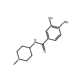 CN1CCC(NC(=O)c2ccc(C(C)(C)C)c(O)c2)CC1